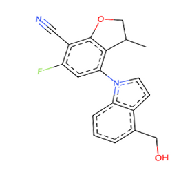 CC1COc2c(C#N)c(F)cc(-n3ccc4c(CO)cccc43)c21